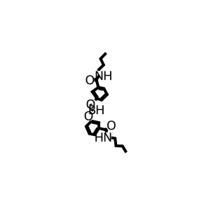 CCCCNC(=O)c1cccc(OBOc2cccc(C(=O)NCCCC)c2)c1